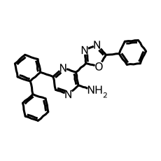 Nc1ncc(-c2ccccc2-c2ccccc2)nc1-c1nnc(-c2ccccc2)o1